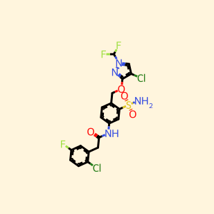 NS(=O)(=O)c1cc(NC(=O)Cc2cc(F)ccc2Cl)ccc1COc1nn(C(F)F)cc1Cl